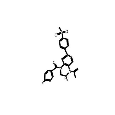 C=C(C)N1c2ccc(-c3ccc(S(C)(=O)=O)cc3)cc2N(C(=O)c2ccc(F)cc2)C[C@@H]1C